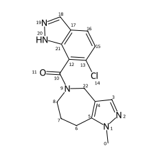 Cn1ncc2c1CCCN(C(=O)c1c(Cl)ccc3cn[nH]c13)C2